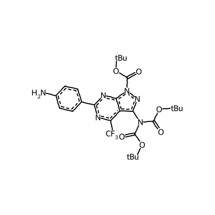 CC(C)(C)OC(=O)N(C(=O)OC(C)(C)C)c1nn(C(=O)OC(C)(C)C)c2nc(-c3ccc(N)cc3)nc(C(F)(F)F)c12